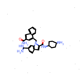 N=C(N)c1ccc2cc(C(=O)NC3CCC(N)CC3)n(Cc3cc(C(N)=O)cc4ccccc34)c2c1